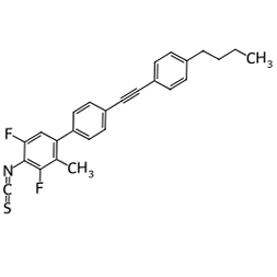 CCCCc1ccc(C#Cc2ccc(-c3cc(F)c(N=C=S)c(F)c3C)cc2)cc1